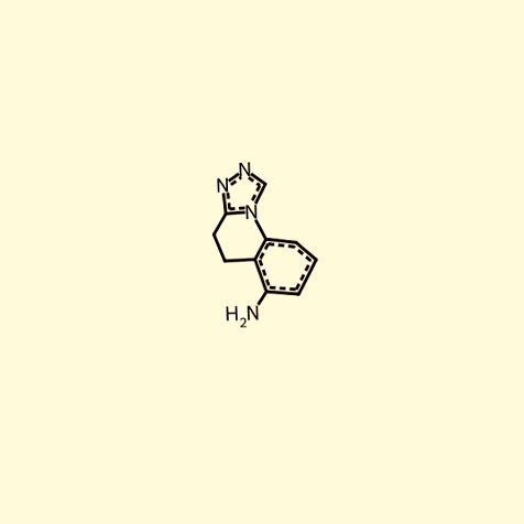 Nc1cccc2c1CCc1nncn1-2